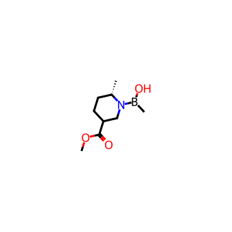 COC(=O)C1CC[C@H](C)N(B(C)O)C1